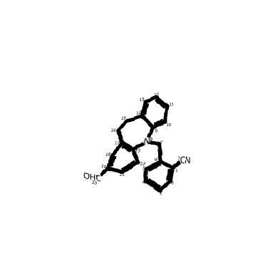 N#Cc1ccccc1CN1c2ccccc2CCc2cc(C=O)ccc21